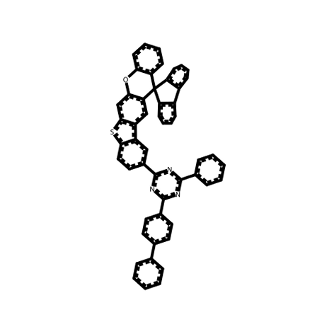 c1ccc(-c2ccc(-c3nc(-c4ccccc4)nc(-c4ccc5sc6cc7c(cc6c5c4)C4(c5ccccc5O7)c5ccccc5-c5ccccc54)n3)cc2)cc1